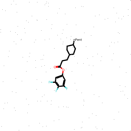 CCCCCC1CCC(CCC(=O)Oc2cc(F)c(F)c(F)c2)CC1